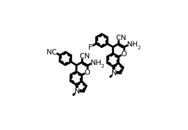 Cn1ccc2c3c(ccc21)C(c1ccc(C#N)cc1)C(C#N)=C(N)O3.Cn1ccc2c3c(ccc21)C(c1cccc(F)c1)C(C#N)=C(N)O3